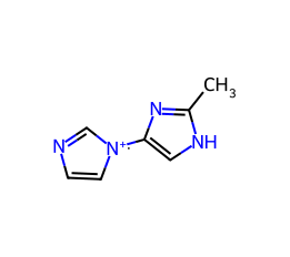 Cc1nc([N+]2C=CN=C2)c[nH]1